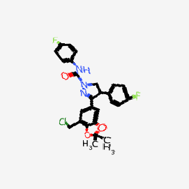 CC1(C)Oc2cc(C3=NN(C(=O)Nc4ccc(F)cc4)CC3c3ccc(F)cc3)cc(CCl)c2O1